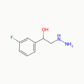 NNCC(O)c1cccc(F)c1